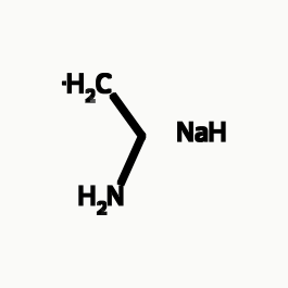 [CH2]CN.[NaH]